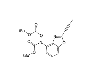 CC#Cc1nc2c(N(OC(=O)OC(C)(C)C)C(=O)OC(C)(C)C)cccc2o1